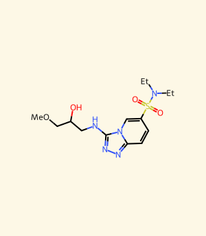 CCN(CC)S(=O)(=O)c1ccc2nnc(NCC(O)COC)n2c1